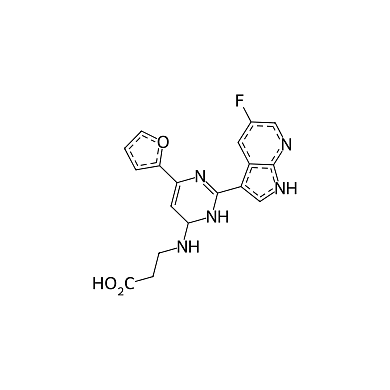 O=C(O)CCNC1C=C(c2ccco2)N=C(c2c[nH]c3ncc(F)cc23)N1